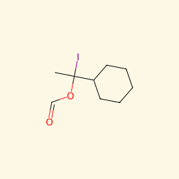 CC(I)(OC=O)C1CCCCC1